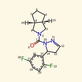 O=C(N1C[C@H]2CCC[C@H]2C1)N1N=CCC1c1cc(F)ccc1F